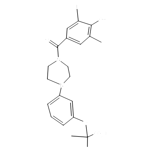 CC(C)(Oc1cccc(N2CCN(C(=O)c3cc(I)c(O)c(I)c3)CC2)c1)C(=O)O